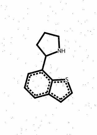 c1cc(C2CCCN2)c2sccc2c1